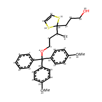 CCC(CCOC(c1ccccc1)(c1ccc(OC)cc1)c1ccc(OC)cc1)C1(CCCO)SC=CS1